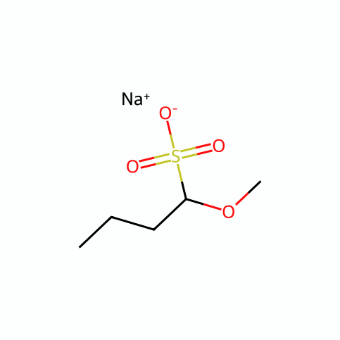 CCCC(OC)S(=O)(=O)[O-].[Na+]